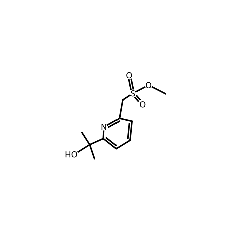 COS(=O)(=O)Cc1cccc(C(C)(C)O)n1